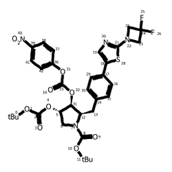 CC(C)(C)OC(=O)O[C@H]1CN(C(=O)OC(C)(C)C)[C@H](Cc2ccc(-c3cnc(N4CC(F)(F)C4)s3)cc2)[C@@H]1OC(=O)Oc1ccc([N+](=O)[O-])cc1